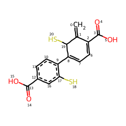 C=C1C(C(=O)O)=CC=C(c2ccc(C(=O)O)cc2S)C1S